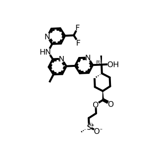 Cc1cc(Nc2cc(C(F)F)ccn2)nc(-c2ccc([C@](C)(O)[C@H]3CC[C@H](C(=O)OCC[S@@+](C)[O-])CC3)nc2)c1